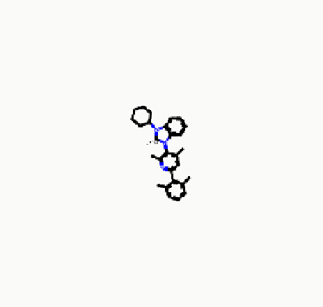 Cc1cccc(C)c1-c1cc(C)c(N2c3ccccc3N(C3CCCCC3)[C@H]2C)c(C)n1